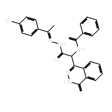 C/C(=N\NC(=O)C(NC(=O)c1ccccc1)c1n[nH]c(=O)c2ccccc12)c1ccc(Br)cc1